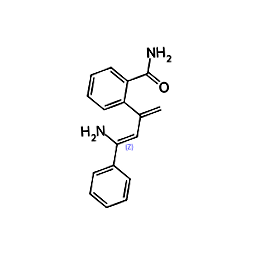 C=C(/C=C(\N)c1ccccc1)c1ccccc1C(N)=O